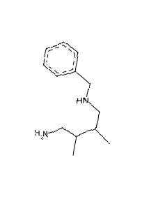 CC(CN)C(C)CNCc1ccccc1